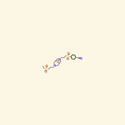 CCS(=O)(=O)CCCN1CC2CN(CCCS(=O)(=O)c3ccc(C#N)cc3)CC(C1)O2